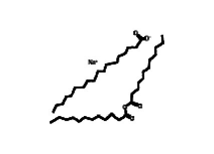 CCCCCCCCCCCC(=O)OC(=O)CCCCCCCCCCC.CCCCCCCCCCCCCCCCCC(=O)[O-].[Na+]